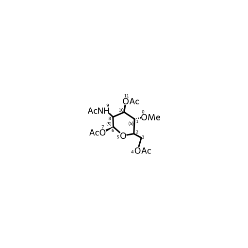 CO[C@@H]1C(COC(C)=O)O[C@@H](OC(C)=O)C(NC(C)=O)C1OC(C)=O